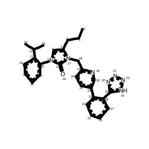 CCCc1cn(-c2ccccc2C(C)C)c(=O)n1Cc1ccc(-c2ccccc2-c2nnn[nH]2)cn1